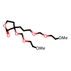 COCCOCOCCCC1(OCOCCOC)CCOC1=O